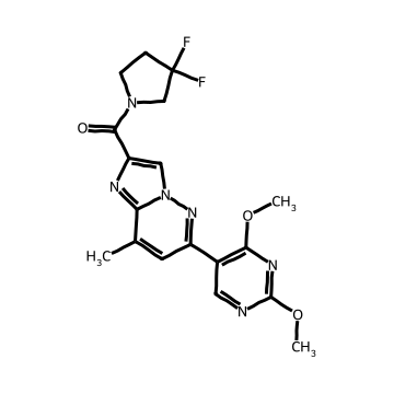 COc1ncc(-c2cc(C)c3nc(C(=O)N4CCC(F)(F)C4)cn3n2)c(OC)n1